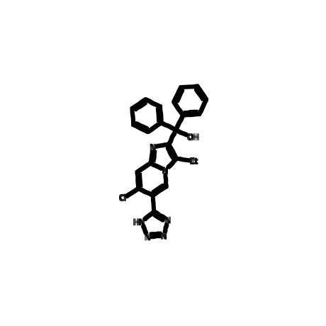 CCc1c(C(O)(c2ccccc2)c2ccccc2)nc2cc(Cl)c(-c3nnn[nH]3)cn12